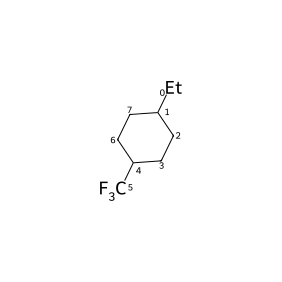 [CH2]CC1CCC(C(F)(F)F)CC1